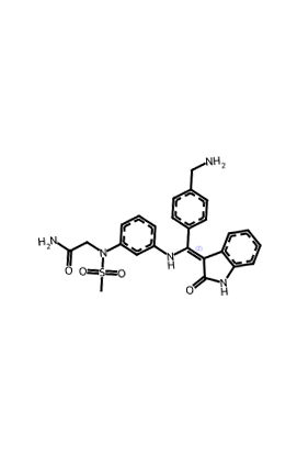 CS(=O)(=O)N(CC(N)=O)c1cccc(N/C(=C2\C(=O)Nc3ccccc32)c2ccc(CN)cc2)c1